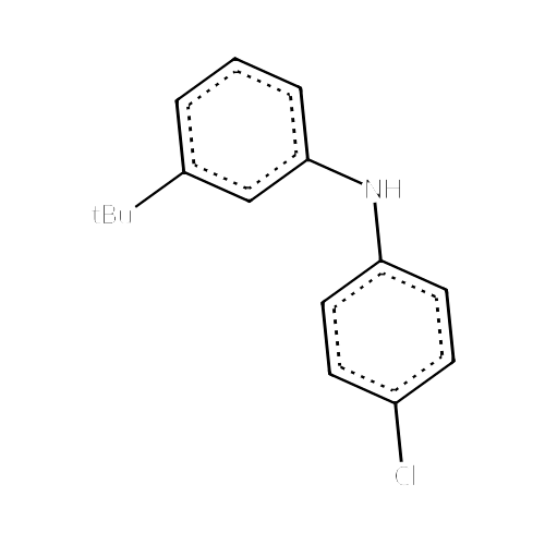 CC(C)(C)c1cccc(Nc2ccc(Cl)cc2)c1